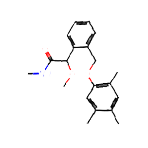 CNC(=O)C(OC)c1ccccc1COc1cc(C)c(C)cc1C